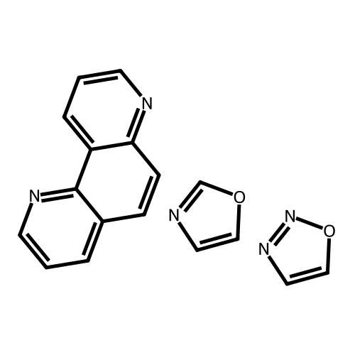 c1cnc2c(c1)ccc1ncccc12.c1cocn1.c1conn1